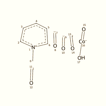 C[n+]1ccccc1.[C]=O.[C]=O.[C]=O.[C]=O.[O]=[Co-][OH]